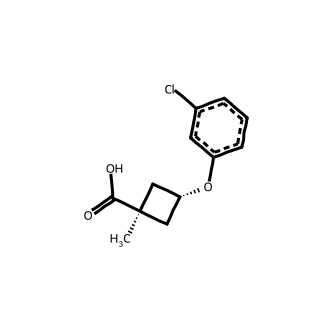 C[C@]1(C(=O)O)C[C@H](Oc2cccc(Cl)c2)C1